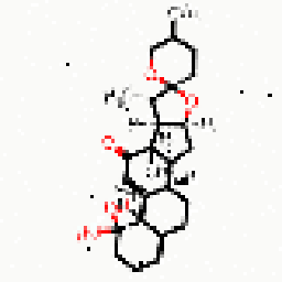 CC1CC[C@@]2(OC1)O[C@H]1C[C@H]3[C@@H]4CCC5CCCC(O)(O)[C@]5(C)C4=CC(=O)[C@]3(C)[C@H]1[C@@H]2C